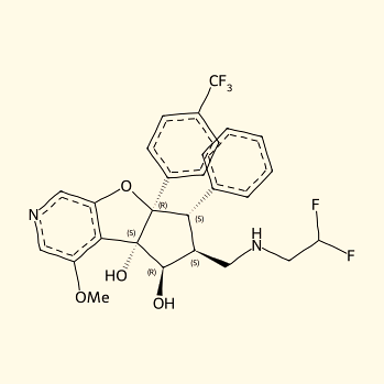 COc1cncc2c1[C@]1(O)[C@H](O)[C@H](CNCC(F)F)[C@@H](c3ccccc3)[C@]1(c1ccc(C(F)(F)F)cc1)O2